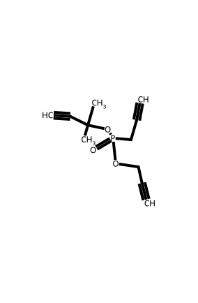 C#CCOP(=O)(CC#C)OC(C)(C)C#C